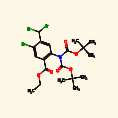 CCOC(=O)c1cc(Br)c(C(Br)Br)cc1N(C(=O)OC(C)(C)C)C(=O)OC(C)(C)C